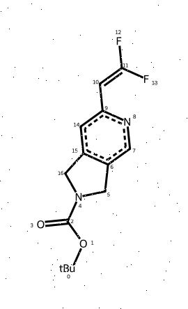 CC(C)(C)OC(=O)N1Cc2cnc(C=C(F)F)cc2C1